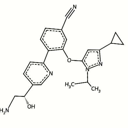 CC(C)n1nc(C2CC2)cc1Oc1cc(C#N)ccc1-c1ccc([C@H](O)CN)cn1